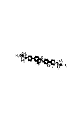 Cc1cc(NC(=O)c2ccc(C3=CCN(C(=O)OC(C)(C)C)CC3)cc2C(F)(F)F)ccc1C1=CCN(C(=O)OC(C)(C)C)CC1